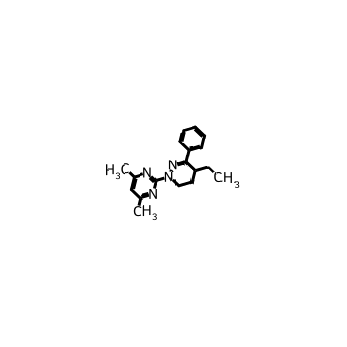 CCC1CCN(c2nc(C)cc(C)n2)N=C1c1ccccc1